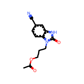 CC(=O)OCCCn1c(=O)[nH]c2cc(C#N)ccc21